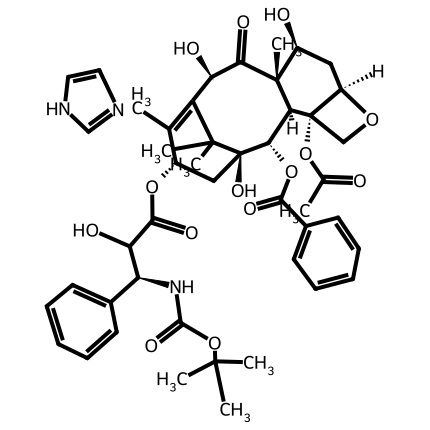 CC(=O)O[C@@]12CO[C@@H]1C[C@H](O)[C@@]1(C)C(=O)[C@H](O)C3=C(C)[C@@H](OC(=O)C(O)[C@@H](NC(=O)OC(C)(C)C)c4ccccc4)C[C@@](O)([C@@H](OC(=O)c4ccccc4)[C@H]21)C3(C)C.c1c[nH]cn1